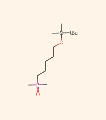 CC(C)(C)[Si](C)(C)OCCCCCP(C)(C)=O